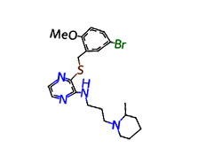 COc1ccc(Br)cc1CSc1nccnc1NCCCN1CCCCC1C